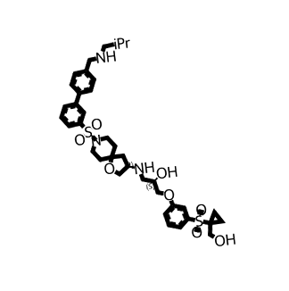 CC(C)CNCc1ccc(-c2cccc(S(=O)(=O)N3CCC4(CC3)C[C@@H](NC[C@H](O)COc3cccc(S(=O)(=O)C5(CO)CC5)c3)CO4)c2)cc1